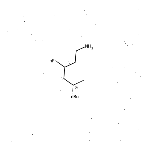 CCCC[C@@H](C)CC(CCC)CCN